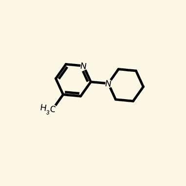 Cc1ccnc(N2CCCCC2)c1